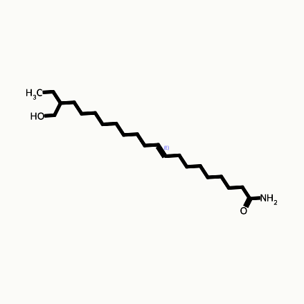 CCC(CO)CCCCCCCC/C=C/CCCCCCCC(N)=O